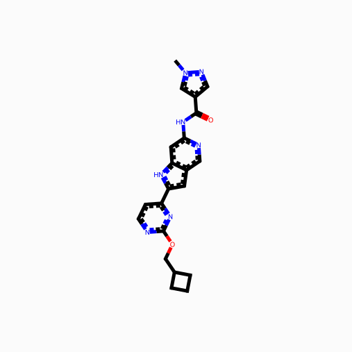 Cn1cc(C(=O)Nc2cc3[nH]c(-c4ccnc(OCC5CCC5)n4)cc3cn2)cn1